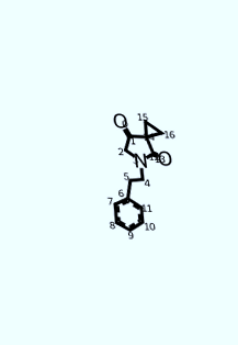 O=C1CN(CCc2ccccc2)C(=O)C12CC2